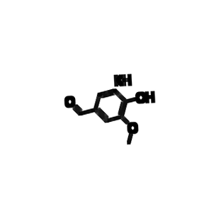 COc1cc(C=O)ccc1O.[KH]